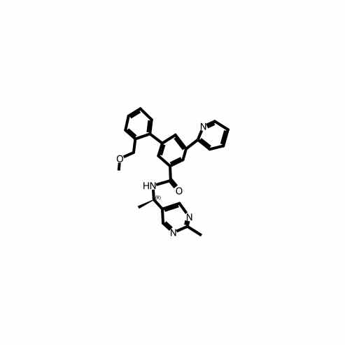 COCc1ccccc1-c1cc(C(=O)N[C@H](C)c2cnc(C)nc2)cc(-c2ccccn2)c1